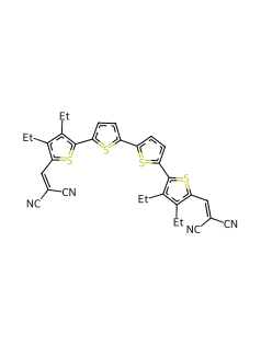 CCc1c(C=C(C#N)C#N)sc(-c2ccc(-c3ccc(-c4sc(C=C(C#N)C#N)c(CC)c4CC)s3)s2)c1CC